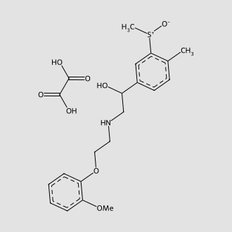 COc1ccccc1OCCNCC(O)c1ccc(C)c([S+](C)[O-])c1.O=C(O)C(=O)O